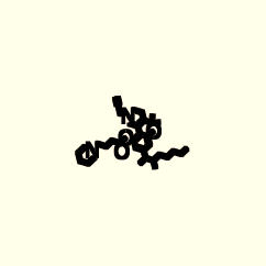 C#CCN1CCC2=C(C1)c1c(OC(=O)CCCN3CCCCC3)cc(C(C)C(C)CCCCC)cc1OC2(C)C